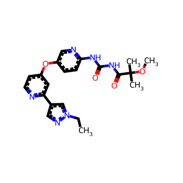 CCn1cc(-c2cc(Oc3ccc(NC(=O)NC(=O)C(C)(C)OC)nc3)ccn2)cn1